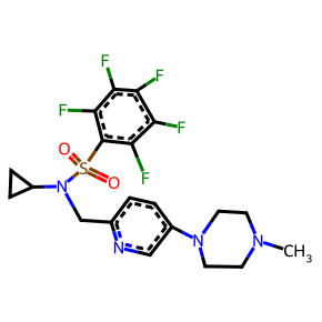 CN1CCN(c2ccc(CN(C3CC3)S(=O)(=O)c3c(F)c(F)c(F)c(F)c3F)nc2)CC1